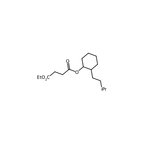 CCOC(=O)CCC(=O)OC1CCCCC1CCC(C)C